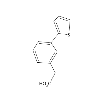 O=C(O)Cc1cccc(-c2cccs2)c1